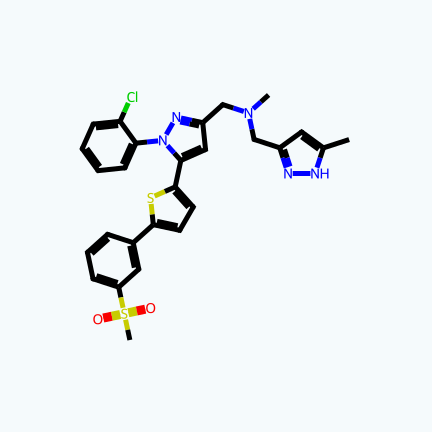 Cc1cc(CN(C)Cc2cc(-c3ccc(-c4cccc(S(C)(=O)=O)c4)s3)n(-c3ccccc3Cl)n2)n[nH]1